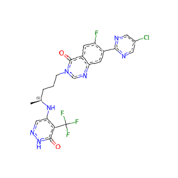 C[C@@H](CCCn1cnc2cc(-c3ncc(Cl)cn3)c(F)cc2c1=O)Nc1cn[nH]c(=O)c1C(F)(F)F